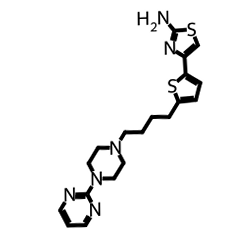 Nc1nc(-c2ccc(CCCCN3CCN(c4ncccn4)CC3)s2)cs1